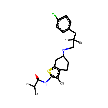 CCC(CC)C(=O)Nc1sc2c(c1C#N)CCC(NCC(CC)(CC)Cc1ccc(Cl)cc1)C2